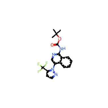 CC(C)(C)OC(=O)Nc1ncc(-n2nccc2C(F)(F)F)c2ccccc12